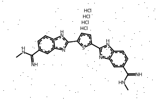 CNC(=N)c1ccc2[nH]c(-c3ccc(-c4nc5cc(C(=N)NC)ccc5[nH]4)s3)nc2c1.Cl.Cl.Cl.Cl